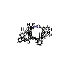 CC/C=C\CCC1CO/C=C(/C)NC(=O)C(C(C)OCc2ccccc2)NC(=O)C(CNC(=O)OCc2ccccc2)NC(=O)C(C2CCCCC2)NC(=O)C(CCC)N(C)C1=O